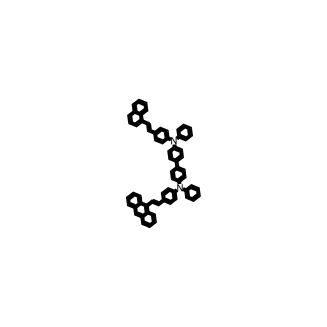 C(=C\c1cccc2ccccc12)/c1ccc(N(c2ccccc2)c2ccc(-c3ccc(N(c4ccccc4)c4ccc(/C=C/c5c6ccccc6cc6ccccc56)cc4)cc3)cc2)cc1